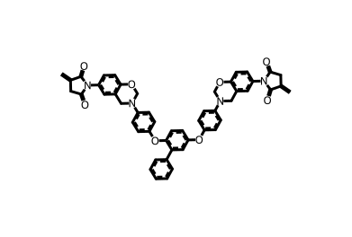 C=C1CC(=O)N(c2ccc3c(c2)CN(c2ccc(Oc4ccc(Oc5ccc(N6COc7ccc(N8C(=O)CC(=C)C8=O)cc7C6)cc5)c(-c5ccccc5)c4)cc2)CO3)C1=O